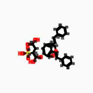 C(=Cc1c2ccc(c1C=Cc1ccccc1)OOCC2)c1ccccc1.O=C(O)CC(C(=O)O)S(=O)(=O)O